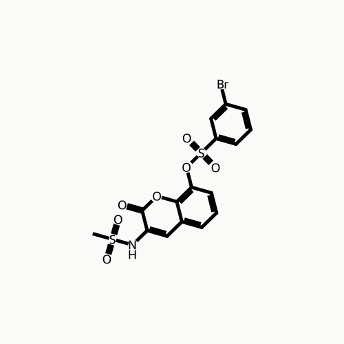 CS(=O)(=O)Nc1cc2cccc(OS(=O)(=O)c3cccc(Br)c3)c2oc1=O